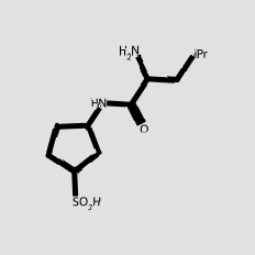 CC(C)CC(N)C(=O)NC1CCC(S(=O)(=O)O)C1